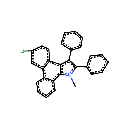 Cn1c(-c2ccccc2)c(-c2ccccc2)c2c3ccc(Cl)cc3c3ccccc3c21